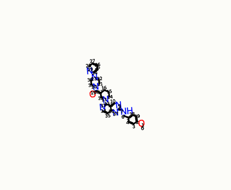 COc1ccc(CNc2ncc3c(N4CCCC(C(=O)N5CCN(c6ccccn6)CC5)C4)nccc3n2)cc1